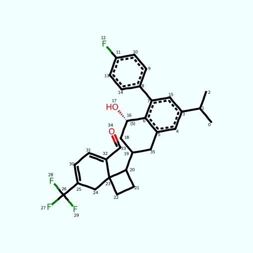 CC(C)c1cc2c(c(-c3ccc(F)cc3)c1)[C@@H](O)CC(C1CCC13CC(C(F)(F)F)=CC=C3C=O)C2